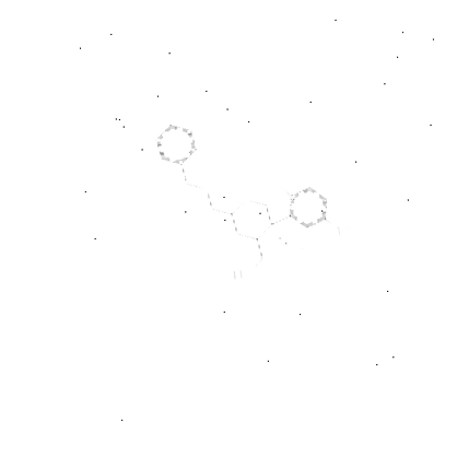 N[C@@]1(c2cc(Br)ccc2F)COC(COCc2ccccc2)CC1CO